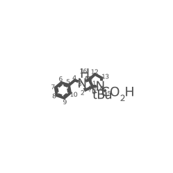 CC(C)(C)[C@@]12CN(Cc3ccccc3)[C@@H]1CCN2C(=O)O